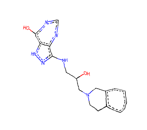 Oc1ncnc2c(NCC(O)CN3CCc4ccccc4C3)n[nH]c12